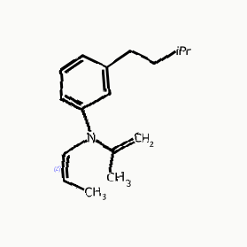 C=C(C)N(/C=C\C)c1cccc(CCC(C)C)c1